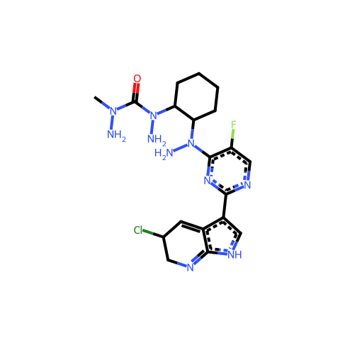 CN(N)C(=O)N(N)C1CCCCC1N(N)c1nc(-c2c[nH]c3c2=CC(Cl)CN=3)ncc1F